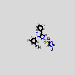 Cn1cnc(S(=O)(=O)N2CC(Nc3cc(F)cc(C#N)c3)C(c3ccccc3)C2)c1